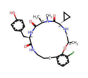 C[C@@H]1CN[C@@H](C2CC2)C(=O)N(C)[C@H](C)C(=O)N[C@H](Cc2ccc(O)cc2)C(=O)NCCCc2cccc(F)c2O1